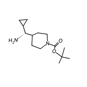 CC(C)(C)OC(=O)N1CCC([C@H](N)C2CC2)CC1